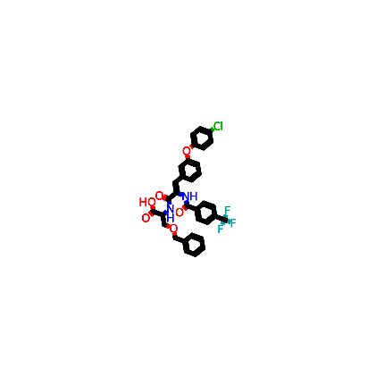 O=C(NC(COCc1ccccc1)C(=O)O)C(=Cc1cccc(Oc2ccc(Cl)cc2)c1)NC(=O)c1ccc(C(F)(F)F)cc1